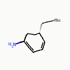 CC(C)(C)C[C@@H]1C=CC=C(N)C1